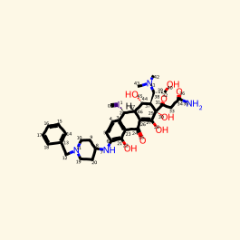 C=I[C@H]1c2ccc(NC3CCN(Cc4ccccc4)CC3)c(O)c2C(=O)C2=C(O)[C@](O)(C(=O)CC(N)=O)[C@H]([C@@H](CO)N(C)C)[C@@H](O)[C@@H]21